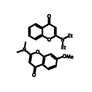 CCN(CC)c1cc(=O)c2ccccc2o1.COc1ccc2c(=O)cc(N(C)C)oc2c1